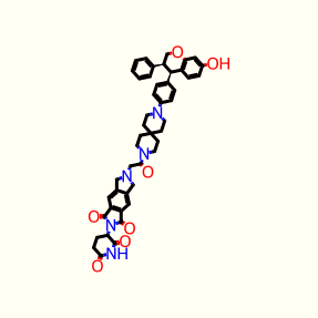 O=C1CCC(N2C(=O)c3cc4c(cc3C2=O)CN(CC(=O)N2CCC3(CC2)CCN(c2ccc([C@@H]5c6ccc(O)cc6OC[C@@H]5c5ccccc5)cc2)CC3)C4)C(=O)N1